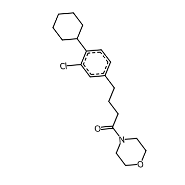 O=C(CCCc1ccc(C2CCCCC2)c(Cl)c1)N1CCOCC1